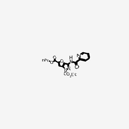 CCCOC(=O)c1cc2c(o1)c(NC(=O)c1ccccn1)nn2C(=O)OCC